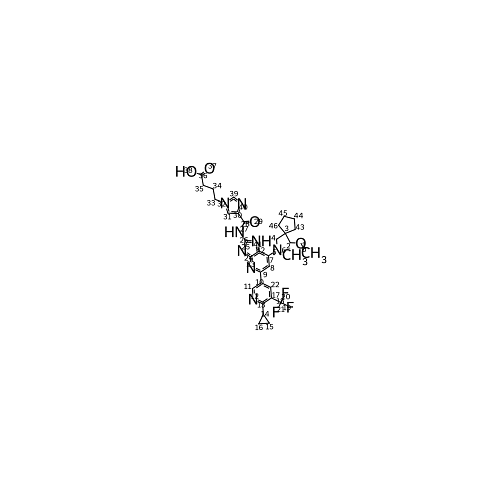 COCC1(CN(C)c2cc(-c3cnc(C4CC4)c(C(F)(F)F)c3)nc3nc(NC(=O)c4cn(CCCC(=O)O)cn4)[nH]c23)CCCC1